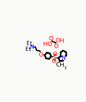 CCN(CC)CCCOc1ccc(S(=O)(=O)c2c(C)cn3ccccc23)cc1.O=C(O)C(=O)O